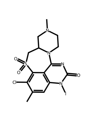 Cc1cc2c3c(nc(=O)n2I)N2CCN(C)CC2CS(=O)(=O)c3c1Cl